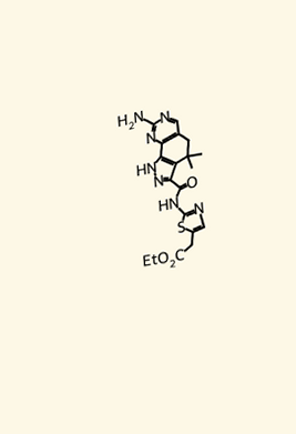 CCOC(=O)Cc1cnc(NC(=O)c2n[nH]c3c2C(C)(C)Cc2cnc(N)nc2-3)s1